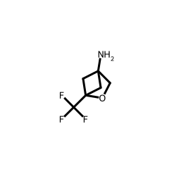 NC12COC(C(F)(F)F)(C1)C2